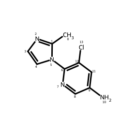 Cc1nccn1-c1ncc(N)cc1Cl